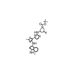 Cc1nc(Nc2ccc(N)c3ccccc23)c(-c2ccnc(N[C@H]3C[C@H](F)CN(C(=O)OC(C)(C)C)C3)n2)s1